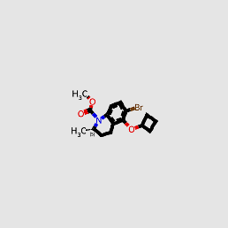 COC(=O)N1c2ccc(Br)c(OC3CCC3)c2CC[C@@H]1C